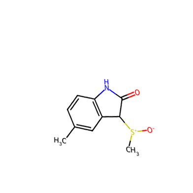 Cc1ccc2c(c1)C([S+](C)[O-])C(=O)N2